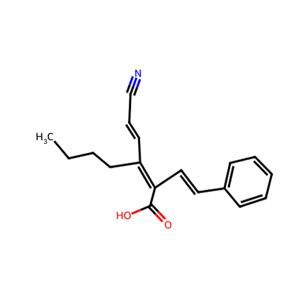 CCCCC(C=CC#N)=C(C=Cc1ccccc1)C(=O)O